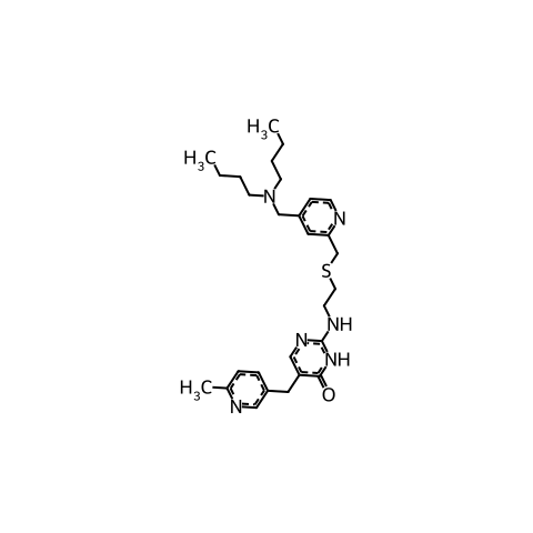 CCCCN(CCCC)Cc1ccnc(CSCCNc2ncc(Cc3ccc(C)nc3)c(=O)[nH]2)c1